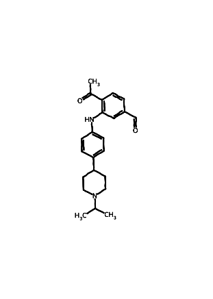 CC(=O)c1ccc(C=O)cc1Nc1ccc(C2CCN(C(C)C)CC2)cc1